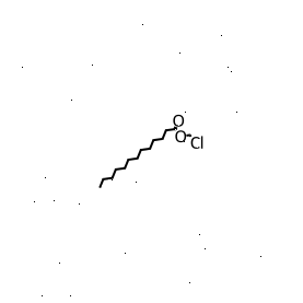 CCCCCCCCCCCCC(=O)OCCl